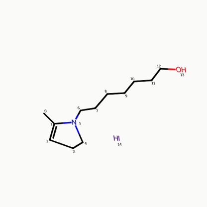 CC1=CCCN1CCCCCCCO.I